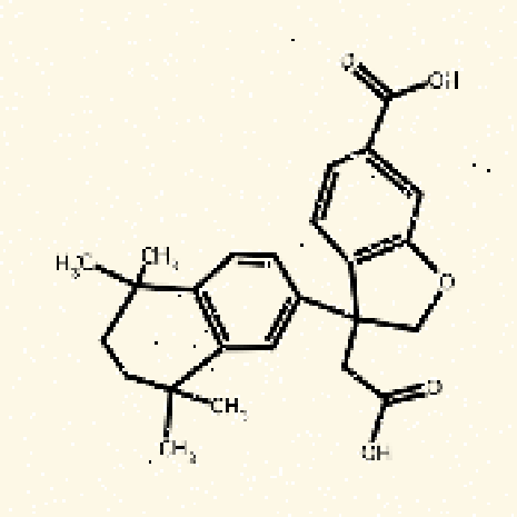 CC1(C)CCC(C)(C)c2cc(C3(CC(=O)O)COc4cc(C(=O)O)ccc43)ccc21